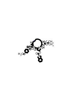 COc1ccc(S(=O)(=O)NC(=O)[C@@]23C[C@H]2/C=C/CCCCC[C@H](NC(=O)OC(C)(C)C)C(=O)N2C[C@H](OC(=O)N4Cc5ccccc5C4)C[C@H]2C(=O)N3)cc1